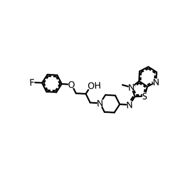 Cn1c(=NC2CCN(CC(O)COc3ccc(F)cc3)CC2)sc2ncccc21